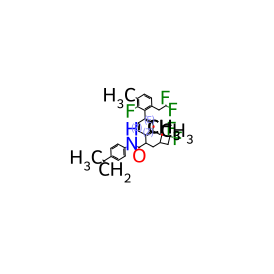 C=C(C)c1ccc(NC(=O)C(CC2CC(F)(F)C2)C(/C=C\C(=C/C)c2c(CC(F)F)ccc(C)c2F)=C(/C)CC)cc1